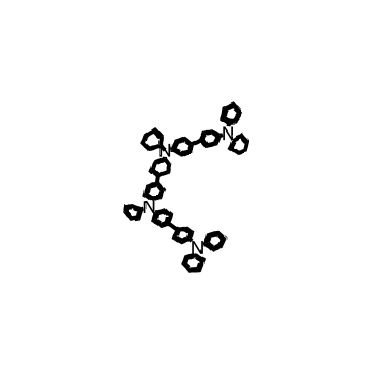 C1=CC(N(C2=CC=C(c3ccc(N(c4ccccc4)c4ccc(-c5ccc(N(c6ccccc6)c6ccccc6)cc5)cc4)cc3)CC2)c2ccc(-c3ccc(N(C4=CCCC=C4)c4ccccc4)cc3)cc2)=CCC1